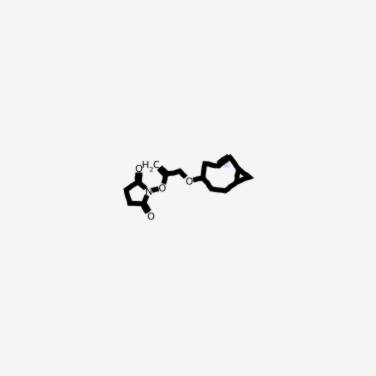 C=C(COC1C/C=C/C2CC2CC1)ON1C(=O)CCC1=O